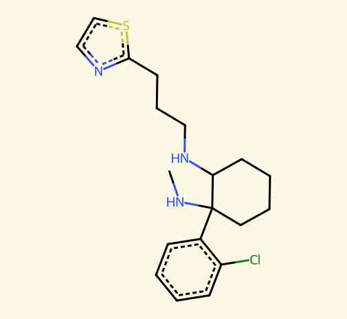 CNC1(c2ccccc2Cl)CCCCC1NCCCc1nccs1